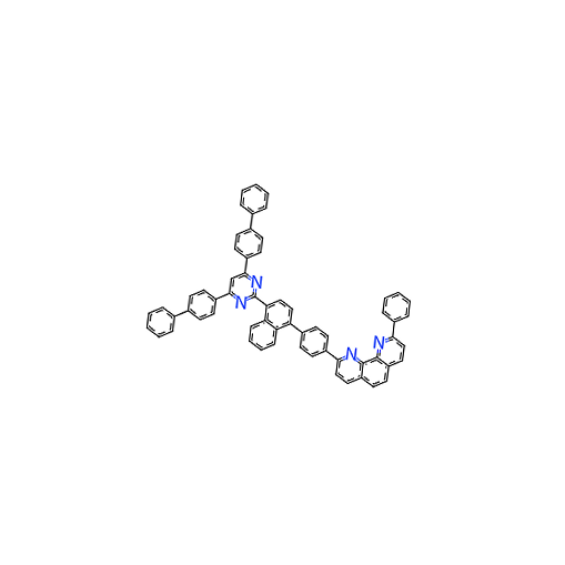 c1ccc(-c2ccc(-c3cc(-c4ccc(-c5ccccc5)cc4)nc(-c4ccc(-c5ccc(-c6ccc7ccc8ccc(-c9ccccc9)nc8c7n6)cc5)c5ccccc45)n3)cc2)cc1